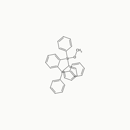 CO[Si](c1ccccc1)(c1ccccc1)c1ccccc1P(c1ccccc1)c1ccccc1